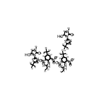 CCC(C)Nc1c([N+](=O)[O-])cc(C(C)(C)C)cc1[N+](=O)[O-].CCC(C)Nc1c([N+](=O)[O-])cc(C(C)(C)C)cc1[N+](=O)[O-].CN1CC(O)N(c2nnc(C(C)(C)C)s2)C1=O.CN1CC(O)N(c2nnc(C(C)(C)C)s2)C1=O